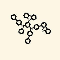 c1ccc(-c2ccc(N(c3ccccc3)c3cc(N(c4ccc(-c5ccccc5)cc4)c4ccc(-c5cccc6c5sc5ccccc56)cc4)cc(-n4c5ccccc5c5ccccc54)c3)cc2)cc1